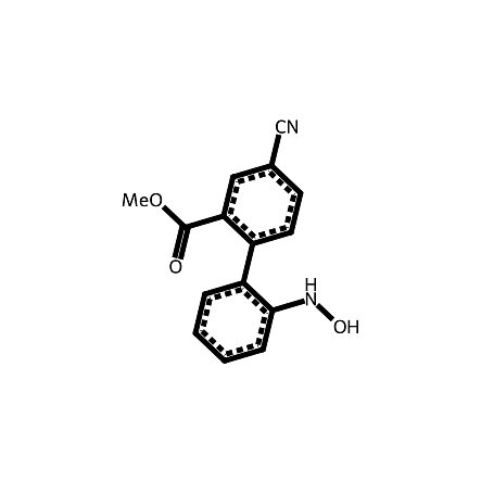 COC(=O)c1cc(C#N)ccc1-c1ccccc1NO